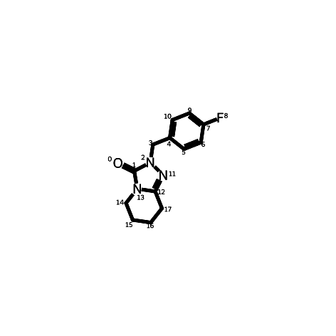 O=c1n(Cc2ccc(F)cc2)nc2n1CCCC2